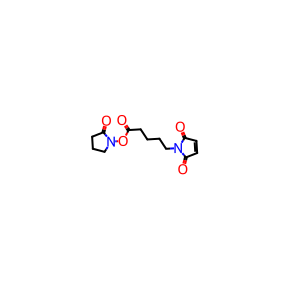 O=C(CCCCN1C(=O)C=CC1=O)ON1CCCC1=O